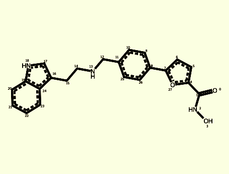 O=C(NO)c1ccc(-c2ccc(CNCCc3c[nH]c4ccccc34)cc2)o1